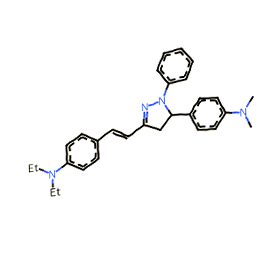 CCN(CC)c1ccc(C=CC2=NN(c3ccccc3)C(c3ccc(N(C)C)cc3)C2)cc1